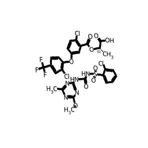 COc1nc(C)nc(NC(=O)NS(=O)(=O)c2ccccc2Cl)n1.C[C@H](OC(=O)c1cc(Oc2ccc(C(F)(F)F)cc2Cl)ccc1Cl)C(=O)O